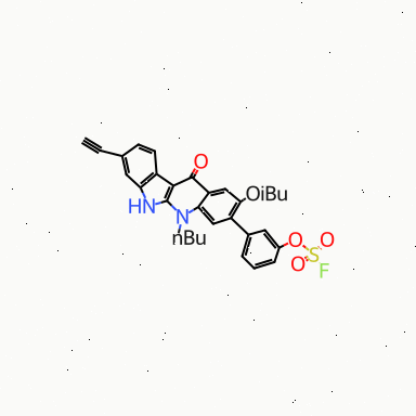 C#Cc1ccc2c(c1)[nH]c1c2c(=O)c2cc(OCC(C)C)c(-c3cccc(OS(=O)(=O)F)c3)cc2n1CCCC